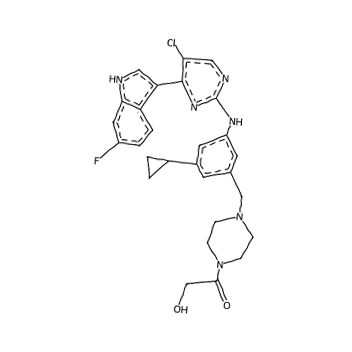 O=C(CO)N1CCN(Cc2cc(Nc3ncc(Cl)c(-c4c[nH]c5cc(F)ccc45)n3)cc(C3CC3)c2)CC1